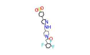 CS(=O)(=O)c1ccc(-c2ccc(NCC3CCN(C(=O)Cc4c(F)ccc(F)c4F)CC3)nc2)cc1